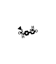 O=C1CCC(c2ccc(NC(=O)SC3CC3)cc2)=NN1